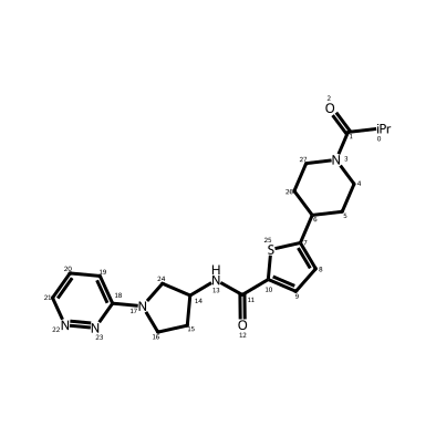 CC(C)C(=O)N1CCC(c2ccc(C(=O)NC3CCN(c4cccnn4)C3)s2)CC1